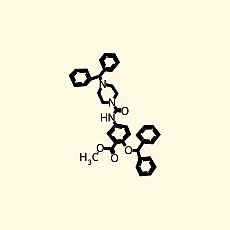 COC(=O)c1cc(NC(=O)N2CCN(C(c3ccccc3)c3ccccc3)CC2)ccc1OC(c1ccccc1)c1ccccc1